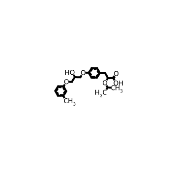 Cc1cccc(OCC(O)COc2ccc(CC(OC(C)C)C(=O)O)cc2)c1